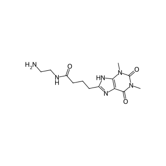 Cn1c(=O)c2nc(CCCC(=O)NCCN)[nH]c2n(C)c1=O